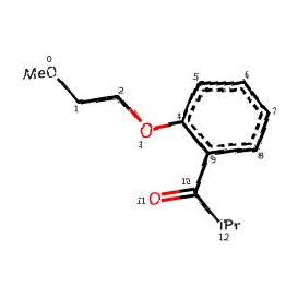 COCCOc1ccccc1C(=O)C(C)C